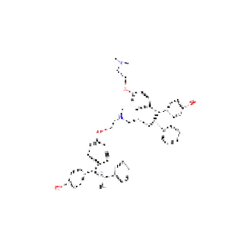 CC/C(=C(\c1ccc(O)cc1)c1ccc(OCCN(C)CCCC(=C(c2ccc(O)cc2)c2ccc(OCCN(C)C)cc2)c2ccccc2)cc1)c1ccccc1